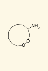 NC1CCCCCCCOOC1